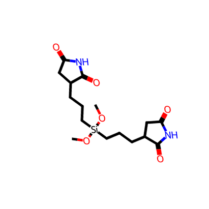 CO[Si](CCCC1CC(=O)NC1=O)(CCCC1CC(=O)NC1=O)OC